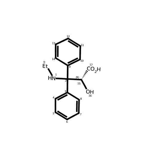 CCNC(c1ccccc1)(c1ccccc1)[C@@H](O)C(=O)O